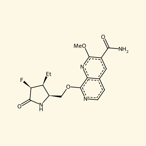 CC[C@@H]1[C@H](F)C(=O)N[C@@H]1COc1nccc2cc(C(N)=O)c(OC)nc12